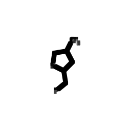 FCC1CC(C(F)(F)F)CS1